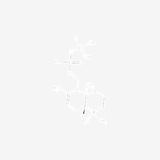 CC1=CC[C@H]2C(C)(C)CCC[C@]2(C)[C@H]1COP(=O)(O)OP(=O)(O)O